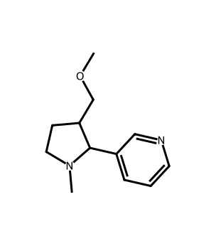 COCC1CCN(C)C1c1cccnc1